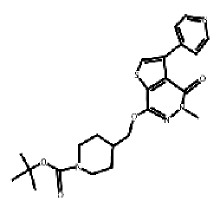 Cn1nc(OCC2CCN(C(=O)OC(C)(C)C)CC2)c2scc(-c3ccncc3)c2c1=O